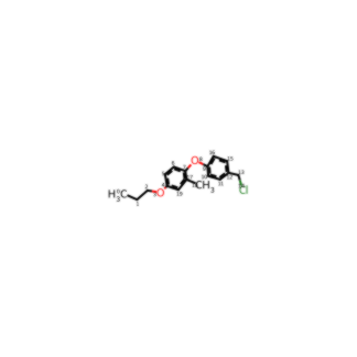 CCCOc1ccc(Oc2ccc(CCl)cc2)c(C)c1